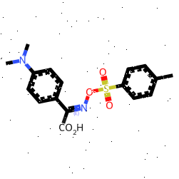 Cc1ccc(S(=O)(=O)O/N=C(/C(=O)O)c2ccc(N(C)C)cc2)cc1